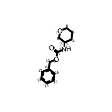 O=C(N[C@@H]1CCCOC1)OCc1ccccc1